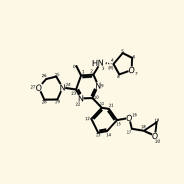 Cc1c(N[C@@H]2CCOC2)nc(-c2cccc(OCC3CO3)c2)nc1N1CCOCC1